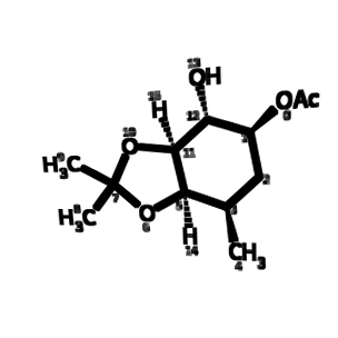 CC(=O)O[C@H]1C[C@@H](C)[C@H]2OC(C)(C)O[C@H]2[C@@H]1O